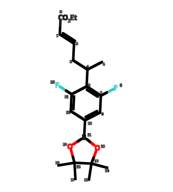 CCOC(=O)/C=C/CC(C)c1c(F)cc(B2OC(C)(C)C(C)(C)O2)cc1F